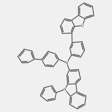 c1ccc(-c2ccc(N(c3cccc(-c4cccc5c4oc4ccccc45)c3)c3ccc4c5ccccc5n(-c5ccccc5)c4c3)cc2)cc1